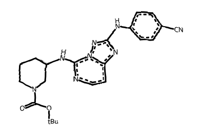 CC(C)(C)OC(=O)N1CCCC(Nc2nccc3nc(Nc4ccc(C#N)cc4)nn23)C1